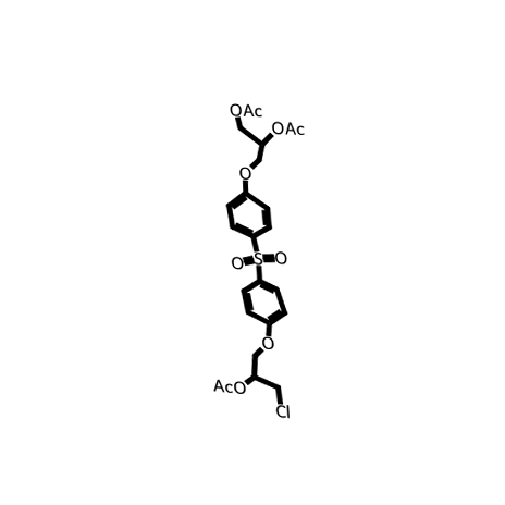 CC(=O)OCC(COc1ccc(S(=O)(=O)c2ccc(OCC(CCl)OC(C)=O)cc2)cc1)OC(C)=O